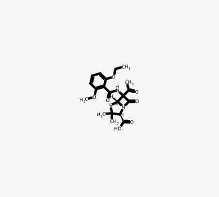 CCOc1cccc(OC)c1C(=O)NC1(C(C)=O)C(=O)N2[C@@H](C(=O)O)C(C)(C)S[C@@H]21